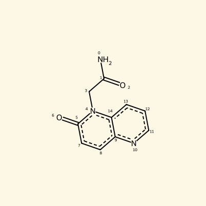 NC(=O)Cn1c(=O)ccc2ncccc21